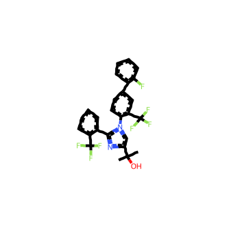 CC(C)(O)c1cn(-c2ccc(-c3ccccc3F)cc2C(F)(F)F)c(-c2ccccc2C(F)(F)F)n1